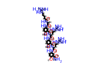 COc1ccc(NC(=O)[C@H](CCCNC(=N)N)NC(=O)c2cc(NC(=O)[C@H](CCCNC(=N)N)NC(=O)c3cc(NC(=O)[C@H](C)NC(=O)CCCCNC(=N)N)ccc3OC)ccc2OC)cc1C(N)=O